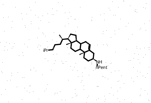 CCCCCN[C@H]1CC[C@@]2(C)C(=CCC3C2CC[C@@]2(C)C3CC[C@@H]2[C@H](C)CCCC(C)C)C1